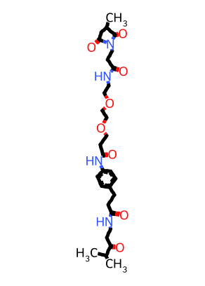 CC(C)C(=O)CCNC(=O)CCc1ccc(NC(=O)CCOCCOCCNC(=O)CCN2C(=O)CC(C)C2=O)cc1